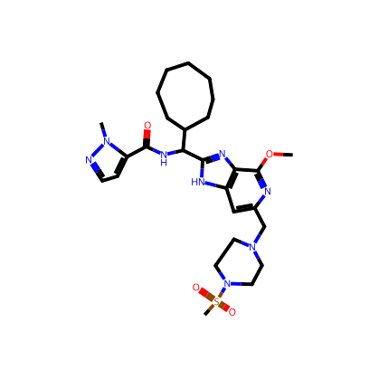 COc1nc(CN2CCN(S(C)(=O)=O)CC2)cc2[nH]c(C(NC(=O)c3ccnn3C)C3CCCCCCC3)nc12